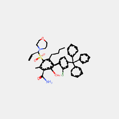 C=CC(N1CCOCC1)S(=O)(=O)c1c(C)c(C(N)=O)c(O)c(-c2ccc(C(c3ccccc3)(c3ccccc3)c3ccccc3)cc2Cl)c1CCCC